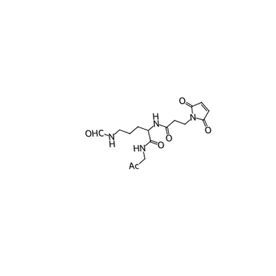 CC(=O)CNC(=O)C(CCCNC=O)NC(=O)CCN1C(=O)C=CC1=O